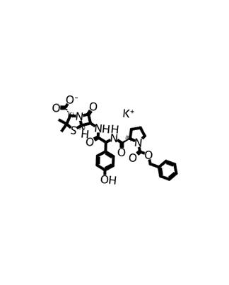 CC1(C)S[C@@H]2C(NC(=O)C(NC(=O)[C@H]3CCCN3C(=O)OCc3ccccc3)c3ccc(O)cc3)C(=O)N2[C@H]1C(=O)[O-].[K+]